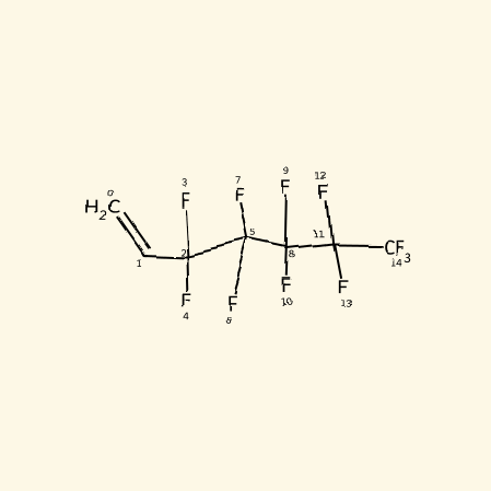 C=CC(F)(F)C(F)(F)C(F)(F)C(F)(F)C(F)(F)F